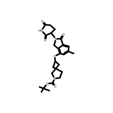 Cc1cc(OC2CC3(CCN(C(=O)OC(C)(C)C)C3)C2)c2c(c1)C(=O)N(C1CCC(=O)NC1=O)C2